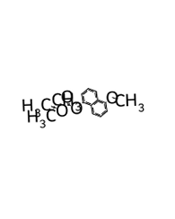 COc1cccc2c(OC(=O)OC(C)(C)C)cccc12